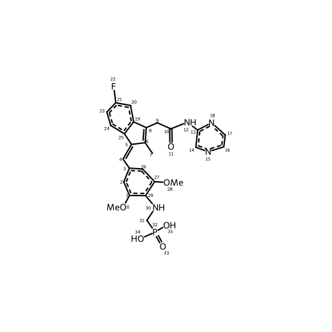 COc1cc(C=C2C(C)=C(CC(=O)Nc3cnccn3)c3cc(F)ccc32)cc(OC)c1NCP(=O)(O)O